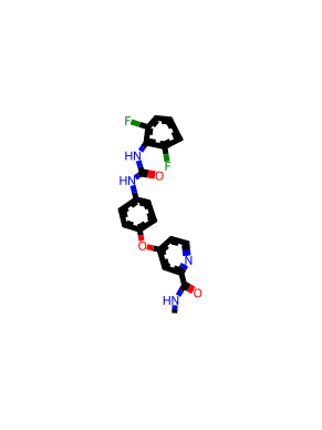 CNC(=O)c1cc(Oc2ccc(NC(=O)Nc3c(F)cccc3F)cc2)ccn1